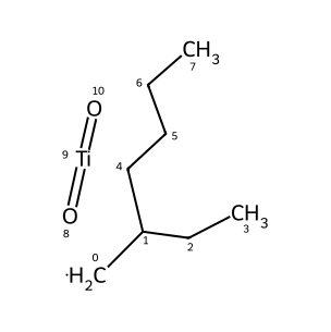 [CH2]C(CC)CCCC.[O]=[Ti]=[O]